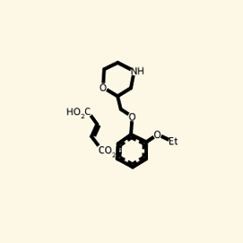 CCOc1ccccc1OCC1CNCCO1.O=C(O)/C=C/C(=O)O